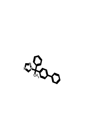 CC(c1ccccc1)(c1ccc(-c2ccccc2)cc1)n1cncn1